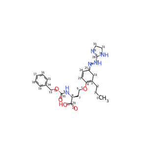 CCCC1=C(OCC[C@H](NC(=O)OCc2ccccc2)C(=O)O)C=CC(=NNC2=NCCN2)C1